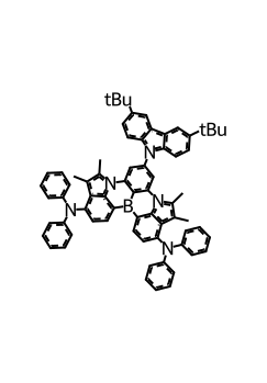 Cc1c(C)n2c3c(ccc(N(c4ccccc4)c4ccccc4)c13)B1c3c-2cc(-n2c4ccc(C(C)(C)C)cc4c4cc(C(C)(C)C)ccc42)cc3-n2c(C)c(C)c3c(N(c4ccccc4)c4ccccc4)ccc1c32